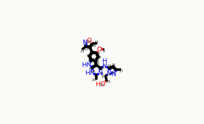 COc1cc2c3c([nH]c2cc1-c1c(C)noc1C)NC(C)N=C3Nc1cc(C)nn1CCO